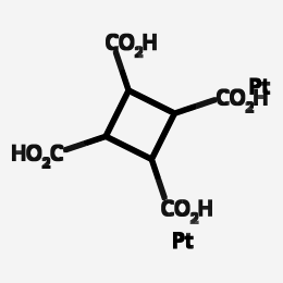 O=C(O)C1C(C(=O)O)C(C(=O)O)C1C(=O)O.[Pt].[Pt]